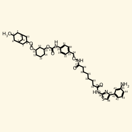 CC1CC2CC(C1)CC(OO[C@@H]1CCCC(OC(=O)Nc3ccc(CONC(=O)CCCCCCC(=O)Nc4nc(-c5cccc(N)c5)cs4)cc3)C1)C2